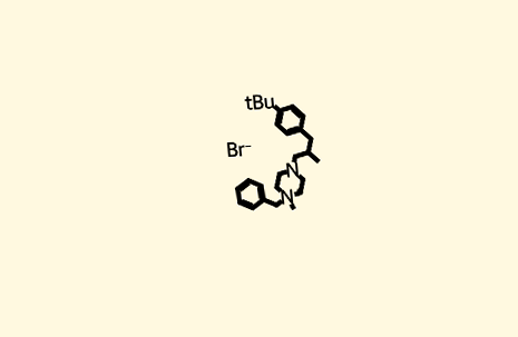 CC(Cc1ccc(C(C)(C)C)cc1)CN1CC[N+](C)(Cc2ccccc2)CC1.[Br-]